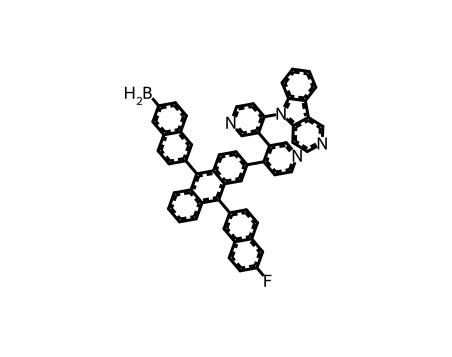 Bc1ccc2cc(-c3c4ccccc4c(-c4ccc5cc(F)ccc5c4)c4cc(-c5ccncc5-c5cnccc5-n5c6ccccc6c6cnccc65)ccc34)ccc2c1